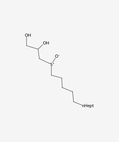 CCCCCCCCCCCC[S+]([O-])CC(O)CO